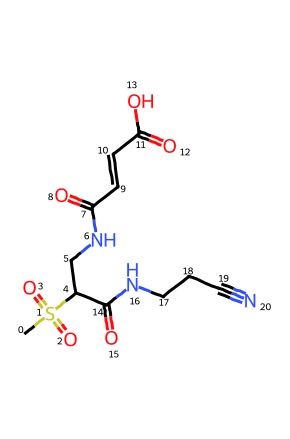 CS(=O)(=O)C(CNC(=O)C=CC(=O)O)C(=O)NCCC#N